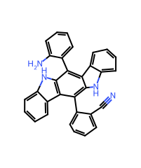 N#Cc1ccccc1-c1c2[nH]c3ccccc3c2c(-c2ccccc2N)c2[nH]c3ccccc3c12